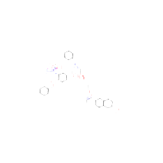 C/C=C(/OCCCCCCN(Cc1ccccc1)CC(O)c1ccc(OCc2ccccc2)c(NS(C)(=O)=O)c1)c1ccc2cc(OC)ccc2c1